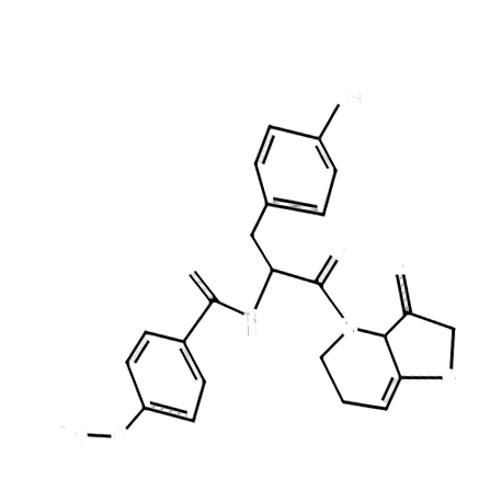 O=C(NC(Cc1ccc(O)cc1)C(=O)N1CCC=C2OCC(=O)C21)c1ccc(OC(F)(F)F)cc1